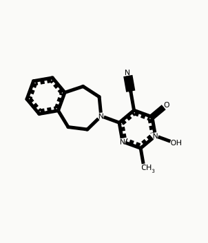 Cc1nc(N2CCc3ccccc3CC2)c(C#N)c(=O)n1O